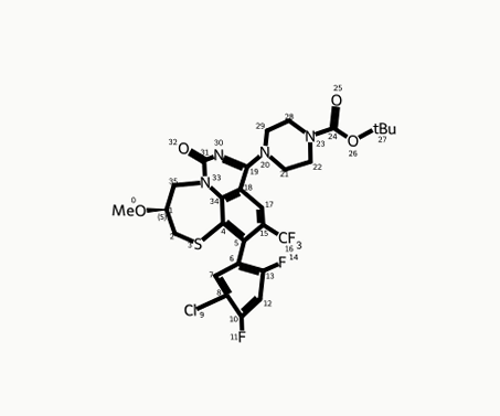 CO[C@@H]1CSc2c(-c3cc(Cl)c(F)cc3F)c(C(F)(F)F)cc3c(N4CCN(C(=O)OC(C)(C)C)CC4)nc(=O)n(c23)C1